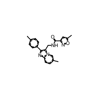 Cc1ccc(-c2nc3ccc(C)cn3c2CNC(=O)c2cc(C)on2)cc1